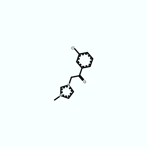 C[n+]1ccn(CC(=O)c2cccc(Cl)c2)c1